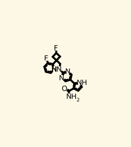 NC(=O)c1cc[nH]c1-c1cnc(NCC2(c3ncccc3F)CC(F)C2)nc1